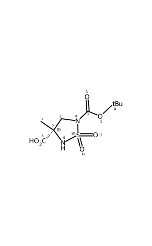 CC(C)(C)OC(=O)N1C[C@@](C)(C(=O)O)NS1(=O)=O